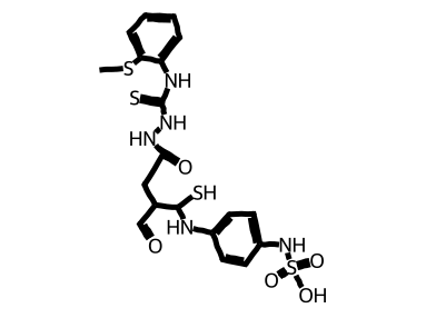 CSc1ccccc1NC(=S)NNC(=O)CC(C=O)C(S)Nc1ccc(NS(=O)(=O)O)cc1